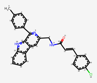 Cc1ccc(-c2nc(CNC(=O)/C=C/c3ccc(Cl)cc3)cc3c2[nH]c2ccccc23)cc1